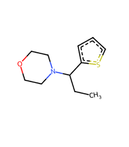 CCC(c1cccs1)N1CCOCC1